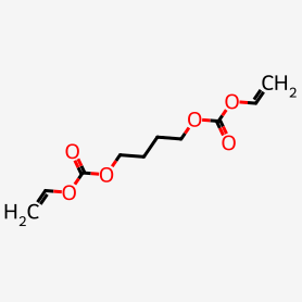 C=COC(=O)OCCCCOC(=O)OC=C